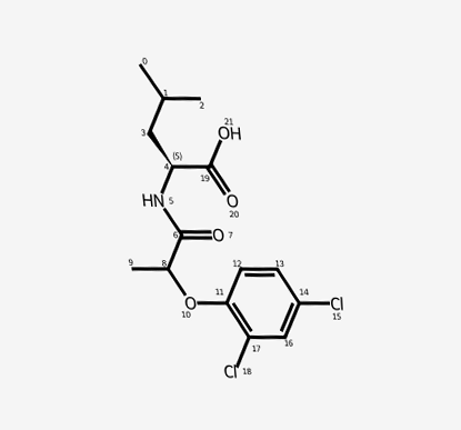 CC(C)C[C@H](NC(=O)C(C)Oc1ccc(Cl)cc1Cl)C(=O)O